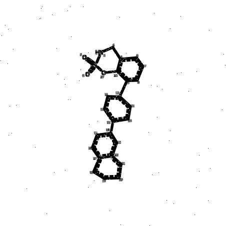 O=S1(=O)NCc2cccc(-c3ccc(-c4ccc5ccccc5c4)cc3)c2O1